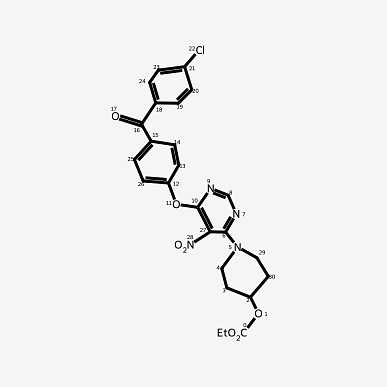 CCOC(=O)OC1CCN(c2ncnc(Oc3ccc(C(=O)c4ccc(Cl)cc4)cc3)c2[N+](=O)[O-])CC1